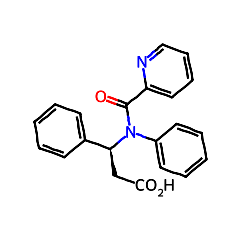 O=C(O)C[C@@H](c1ccccc1)N(C(=O)c1ccccn1)c1ccccc1